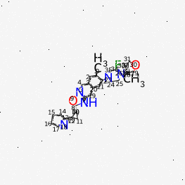 Cc1cc2cnc(NC(=O)[C@@H]3C[C@H]3c3ccccn3)cc2cc1N1CCN([C@@]2(C)COC[C@H]2F)CC1